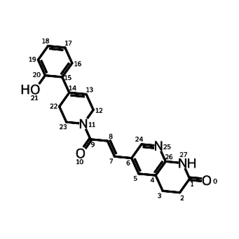 O=C1CCc2cc(/C=C/C(=O)N3CC=C(c4ccccc4O)CC3)cnc2N1